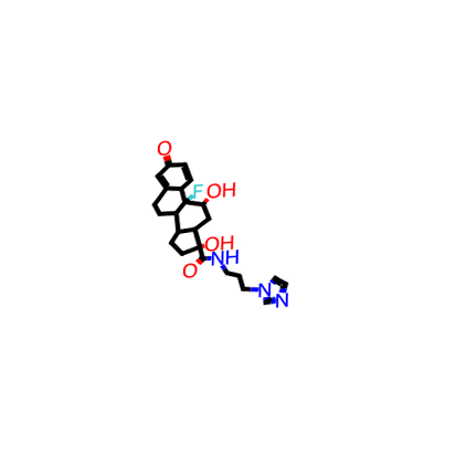 O=C1C=CC2C(=C1)CCC1C3CCC(O)(C(=O)NCCCn4ccnc4)C3CC(O)C21F